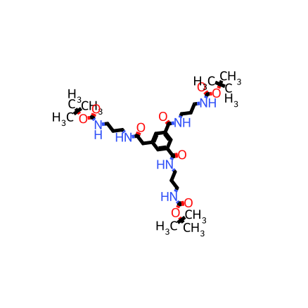 CC(C)(C)OC(=O)NCCCNC(=O)Cc1cc(C(=O)NCCCNC(=O)OC(C)(C)C)cc(C(=O)NCCCNC(=O)OC(C)(C)C)c1